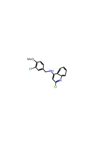 COc1ccc(CNc2cc(Cl)nc3ccccc23)cc1Cl